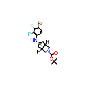 CC(C)(C)OC(=O)N1C[C@H]2C[C@@H](Nc3ccc(Br)c(F)c3F)C[C@H]2C1